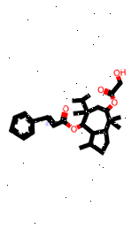 CC1CCC2C1C(OC(=O)/C=C/c1ccccc1)C(C)(C(C)C)CC(OC(=O)CO)C2(C)C